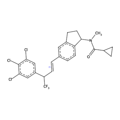 CN(C(=O)C1CC1)C1CCc2cc(/C=C/C(c3cc(Cl)c(Cl)c(Cl)c3)C(F)(F)F)ccc21